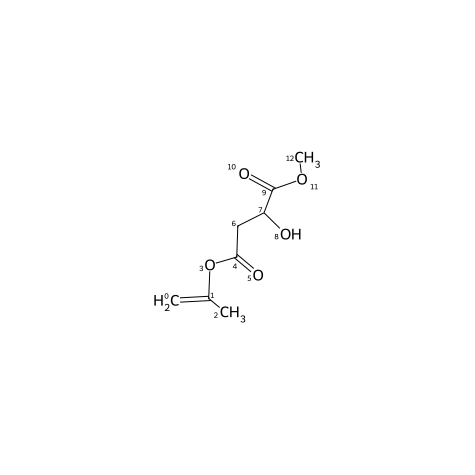 C=C(C)OC(=O)CC(O)C(=O)OC